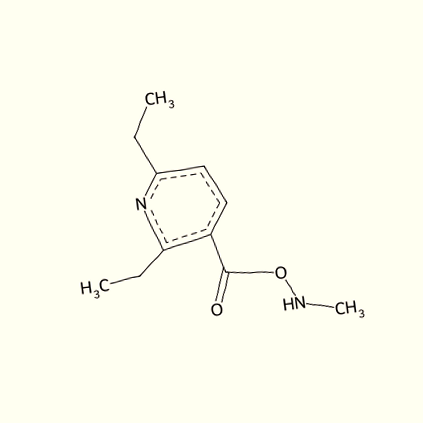 CCc1ccc(C(=O)ONC)c(CC)n1